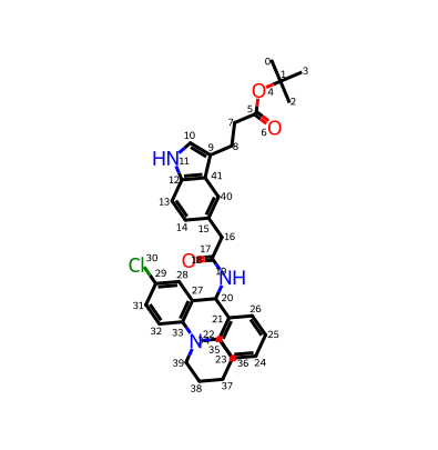 CC(C)(C)OC(=O)CCc1c[nH]c2ccc(CC(=O)NC(c3ccccc3)c3cc(Cl)ccc3N3CCCCC3)cc12